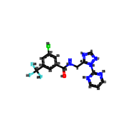 O=C(NCc1ncnn1-c1ncccn1)c1cc(Cl)cc(C(F)(F)F)c1